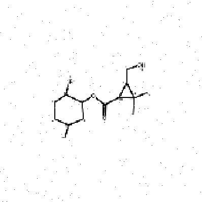 CC1CCC(C(C)C)C(OC(=O)C2C(CO)C2(C)C)C1